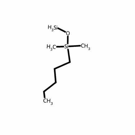 CCCCC[Si](C)(C)O[SiH3]